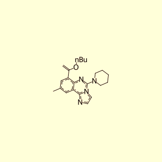 C=C(OCCCC)c1cc(C)cc2c1nc(N1CCCCC1)n1ccnc21